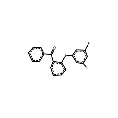 O=C(c1ccccc1)c1ccccc1Sc1cc(F)cc(F)c1